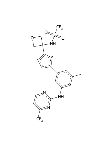 Cc1cc(Nc2nccc(C(F)(F)F)n2)cc(-c2cnc(C3(NS(=O)(=O)C(F)(F)F)COC3)s2)c1